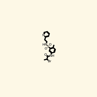 Cc1ccc(NC(=O)C(C)Br)cc1S(=O)(=O)NCCc1ccccn1